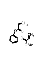 C=CC(=O)OC.C=CC(=O)Oc1ccccc1